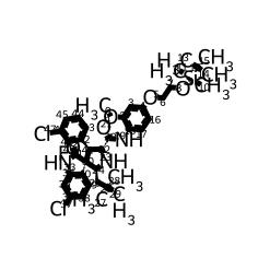 COc1cc(OCCO[Si](C)(C)C(C)(C)C)ccc1NC(=O)[C@@H]1N[C@@H](CC(C)(C)C)[C@@]2(C(=O)Nc3cc(Cl)ccc32)[C@H]1c1cccc(Cl)c1F